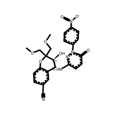 COCC1(COC)Oc2ccc(C#N)cc2[C@@H](Nc2ccc(=O)n(-c3ccc([N+](=O)[O-])cc3)n2)[C@@H]1O